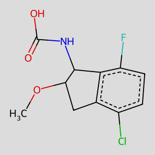 COC1Cc2c(Cl)ccc(F)c2C1NC(=O)O